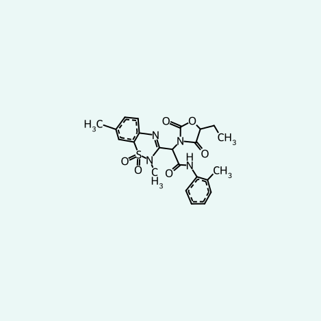 CCC1OC(=O)N(C(C(=O)Nc2ccccc2C)C2=Nc3ccc(C)cc3S(=O)(=O)N2C)C1=O